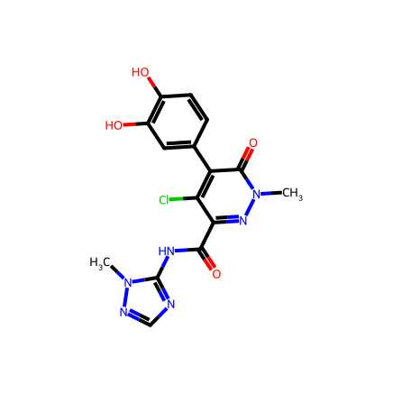 Cn1ncnc1NC(=O)c1nn(C)c(=O)c(-c2ccc(O)c(O)c2)c1Cl